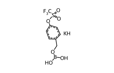 O=S(=O)(Oc1ccc(COB(O)O)cc1)C(F)(F)F.[KH]